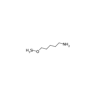 NCCCCCO[SiH3]